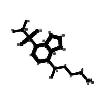 CN(CCON)c1ccc(S(=O)(=O)N(C)C)c2nsnc12